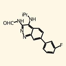 CC(C)Nc1c(NC=O)nnc2cc(-c3cccc(F)c3)ccc12